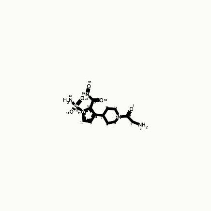 NCC(=O)N1CCC(c2ccn(S(N)(=O)=O)c2C(=O)N=O)CC1